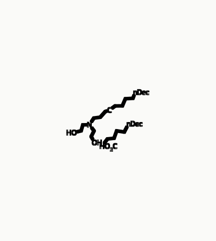 CCCCCCCCCCCCCCC(=O)O.CCCCCCCCCCCCCCCCCCN(CCO)CCO